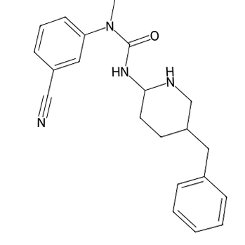 CN(C(=O)NC1CCC(Cc2ccccc2)CN1)c1cccc(C#N)c1